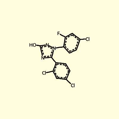 Oc1nc(-c2ccc(Cl)cc2Cl)n(-c2ccc(Cl)cc2F)n1